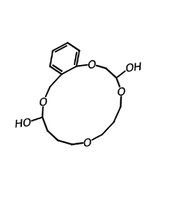 OC1CCCOCCCOC(O)COc2ccccc2CO1